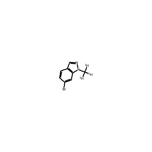 [2H]C([2H])([2H])n1ncc2ccc(Br)cc21